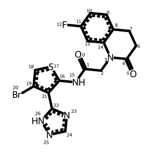 O=C(CN1C(=O)CCc2ccc(F)cc21)Nc1scc(Br)c1-c1ncn[nH]1